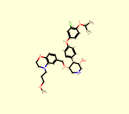 COCCCN1CCOc2ccc(CO[C@H]3CNC[C@@H](O)[C@@H]3c3ccc(Oc4ccc(OC(C)C)c(Cl)c4)cc3)cc21